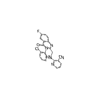 N#Cc1cccnc1NCc1nc2ccc(F)cc2c(=O)n1-c1ccccc1Cl